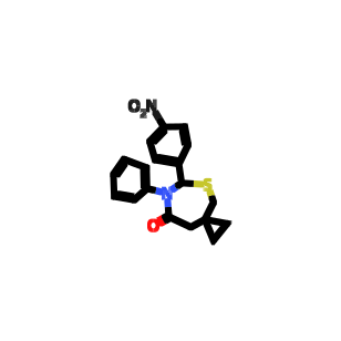 O=C1CC2(CC2)CSC(c2ccc([N+](=O)[O-])cc2)N1c1ccccc1